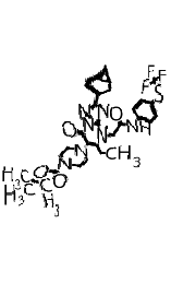 CCc1c(N2CCN(C(=O)OC(C)(C)C)CC2)c(=O)n2nc(C3=CC4CC4C3)nc2n1CC(=O)Nc1ccc(SC(F)(F)F)cc1